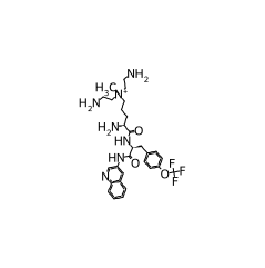 C[N+](CCN)(CCN)CCC[C@H](N)C(=O)N[C@@H](Cc1ccc(OC(F)(F)F)cc1)C(=O)Nc1cnc2ccccc2c1